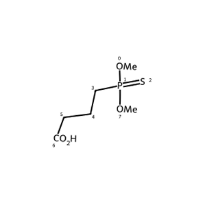 COP(=S)(CCCC(=O)O)OC